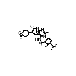 Cc1nc(N[C@H](C)c2cccc(C(F)F)c2F)c2cc(C3CCS(=O)(=O)CC3)c(=O)[nH]c2n1